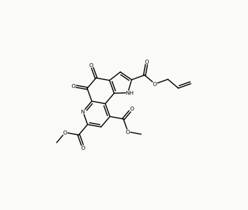 C=CCOC(=O)c1cc2c([nH]1)-c1c(C(=O)OC)cc(C(=O)OC)nc1C(=O)C2=O